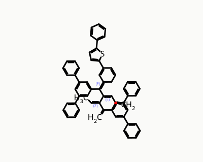 C=C/C=C(C(=C/C)\C(=C)c1cc(-c2ccccc2)cc(-c2ccccc2)c1)/C(=C1/C=C(c2ccc(-c3ccccc3)s2)C=CC1)c1cc(-c2ccccc2)cc(-c2ccccc2)c1